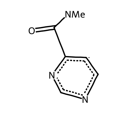 CNC(=O)c1[c]cncn1